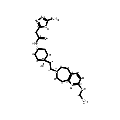 Cc1nnc(CC(=O)N[C@H]2CC[C@](F)(CCN3CCc4ccc(OCC(F)(F)F)nc4CC3)CC2)o1